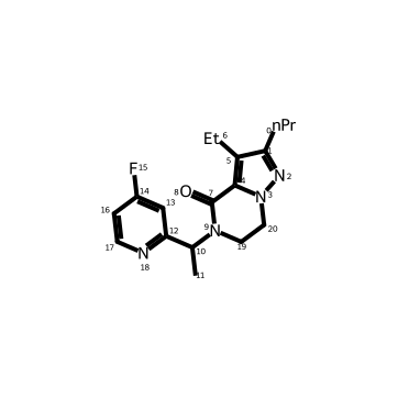 CCCc1nn2c(c1CC)C(=O)N(C(C)c1cc(F)ccn1)CC2